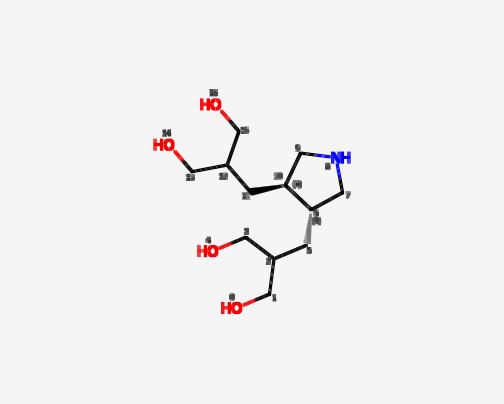 OCC(CO)C[C@H]1CNC[C@@H]1CC(CO)CO